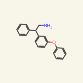 NCC(c1ccccc1)c1cccc(Oc2ccccc2)c1